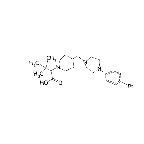 CC(C)(C)C(C(=O)O)N1CCC(CN2CCN(c3ccc(Br)cc3)CC2)CC1